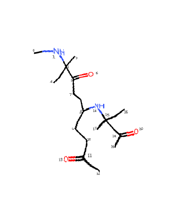 CNC(C)(C)C(=O)CC(CCC(C)=O)NC(C)(C)C(C)=O